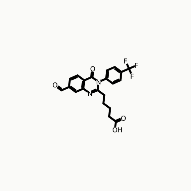 O=Cc1ccc2c(=O)n(-c3ccc(C(F)(F)F)cc3)c(CCCCC(=O)O)nc2c1